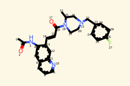 CC(=O)Nc1cc2cccnc2cc1C=CC(=O)N1CCN(Cc2ccc(F)cc2)CC1C